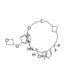 C[C@H]1Nc2nnc(c3ccc(OC4CCOC4)cc23)OCCCCC2CC(CCC(F)(F)c3cccc1c3F)C2